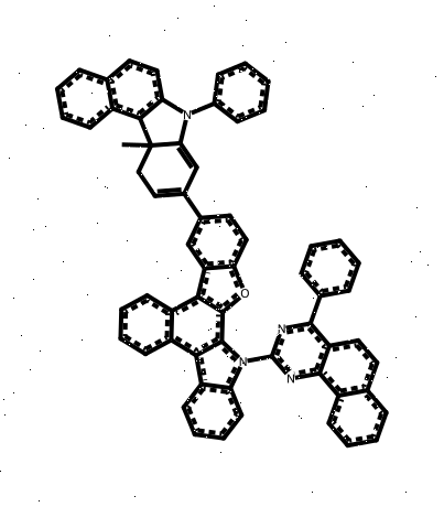 CC12CC=C(c3ccc4oc5c(c4c3)c3ccccc3c3c4ccccc4n(-c4nc(-c6ccccc6)c6ccc7ccccc7c6n4)c53)C=C1N(c1ccccc1)c1ccc3ccccc3c12